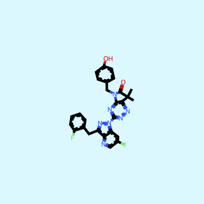 CC1(C)C(=O)N(Cc2ccc(O)cc2)c2nc(-n3nc(Cc4ccccc4F)c4ncc(F)cc43)nnc21